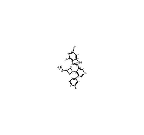 Cc1cccc(-c2cncc(-c3nc4c(F)cc(F)cc4[nH]3)c2N2CC(CN)C2)c1